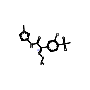 CC(C)O/N=C(/C(=O)Nc1ccn(C)n1)c1ccc(S(C)(=O)=O)c(Cl)c1